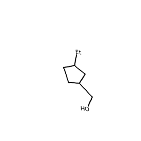 CCC1CCC(CO)C1